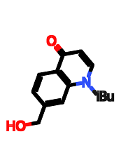 CCC(C)n1ccc(=O)c2ccc(CO)cc21